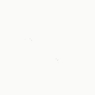 O=[N+]([O-])c1cc([N+](=O)[O-])c(Cl)s1